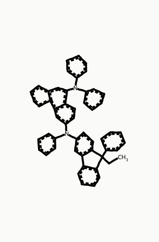 CCC1(c2ccccc2)c2ccccc2-c2cc(N(c3ccccc3)c3ccc4c(N(c5ccccc5)c5ccccc5)cc5ccccc5c4c3)ccc21